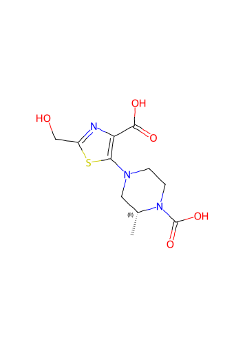 C[C@@H]1CN(c2sc(CO)nc2C(=O)O)CCN1C(=O)O